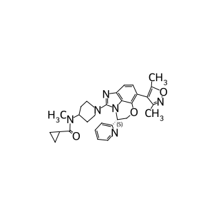 Cc1noc(C)c1-c1ccc2nc(N3CCC(N(C)C(=O)C4CC4)CC3)n3c2c1OC[C@@H]3c1ccccn1